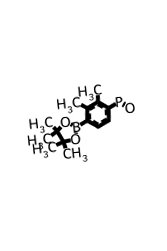 Cc1c(P=O)ccc(B2OC(C)(C)C(C)(C)O2)c1C